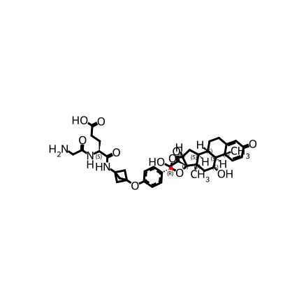 C[C@]12C=CC(=O)C=C1CC[C@@H]1[C@@H]2[C@@H](O)C[C@@]2(C)[C@H]1C[C@H]1O[C@@H](c3ccc(OC45CC(NC(=O)[C@H](CCC(=O)O)NC(=O)CN)(C4)C5)cc3)O[C@]12C(=O)CO